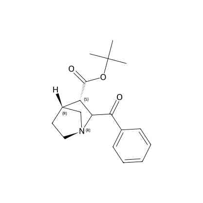 CC(C)(C)OC(=O)[C@@H]1C(C(=O)c2ccccc2)[N@@]2CC[C@H]1C2